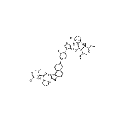 COC(=O)N[C@H](C(=O)N1CCC[C@H]1c1nc2ccc3cc(-c4ccc(-c5cnc([C@@H]6[C@H]7CC[C@H](C7)N6C(=O)[C@@H](NC(=O)OC)[C@@H](C)OC)[nH]5)c(F)c4)ccc3c2[nH]1)C(C)C